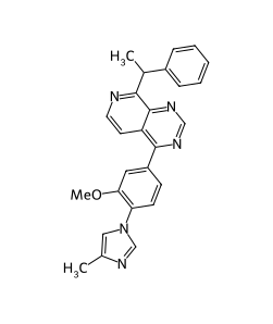 COc1cc(-c2ncnc3c(C(C)c4ccccc4)nccc23)ccc1-n1cnc(C)c1